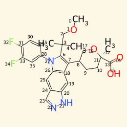 COCC(C)(C)c1c(C2CC[C@](C)(C(=O)O)OC2)c2cc3[nH]ncc3cc2n1-c1ccc(F)c(F)c1